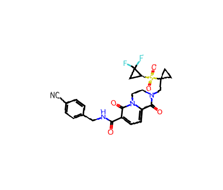 N#Cc1ccc(CNC(=O)c2ccc3n(c2=O)CCN(CC2(S(=O)(=O)[C@H]4CC4(F)F)CC2)C3=O)cc1